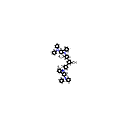 Cc1cc(-c2cc(C#N)cc(-c3ccc(-n4c5ccccc5c5cc(N(c6ccccc6)c6ccccc6)ccc54)c(C)c3)c2)ccc1-n1c2ccccc2c2cc(N(c3ccccc3)c3ccccc3)ccc21